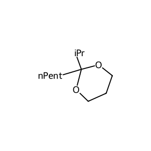 CCCCCC1(C(C)C)OCCCO1